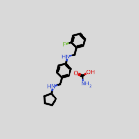 Fc1ccccc1CNc1ccc(CNC2CCCC2)cc1.NC(=O)O